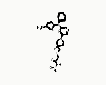 C[S+]([O-])NC(=O)COCC1(F)CCN(c2cncc(N(c3ccccc3)c3ccc(P)cn3)n2)CC1